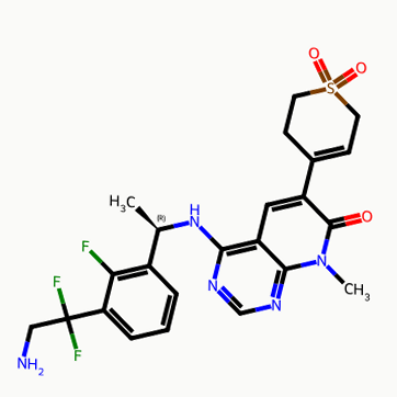 C[C@@H](Nc1ncnc2c1cc(C1=CCS(=O)(=O)CC1)c(=O)n2C)c1cccc(C(F)(F)CN)c1F